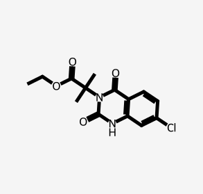 CCOC(=O)C(C)(C)n1c(=O)[nH]c2cc(Cl)ccc2c1=O